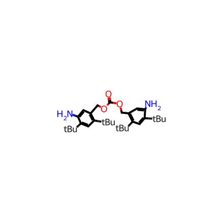 CC(C)(C)c1cc(C(C)(C)C)c(COC(=O)OCc2cc(N)c(C(C)(C)C)cc2C(C)(C)C)cc1N